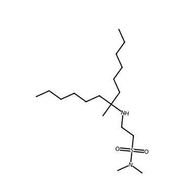 CCCCCCC(C)(CCCCCC)NCCS(=O)(=O)N(C)C